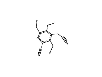 N#CCc1c(CF)c(C#N)nc(CF)c1CF